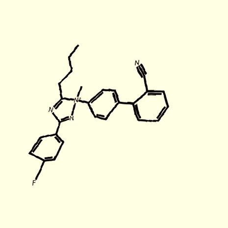 CCCCC1=NC(c2ccc(F)cc2)=N[N+]1(C)c1ccc(-c2ccccc2C#N)cc1